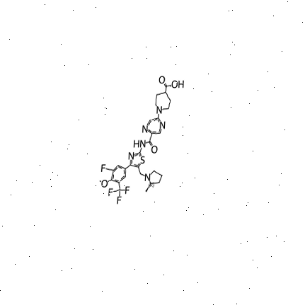 COc1c(F)cc(-c2nc(NC(=O)c3cnc(N4CCC(C(=O)O)CC4)cn3)sc2CN2CCC[C@H]2C)cc1C(F)(F)F